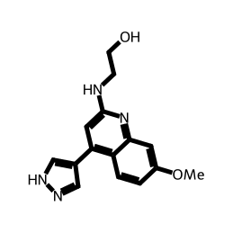 COc1ccc2c(-c3cn[nH]c3)cc(NCCO)nc2c1